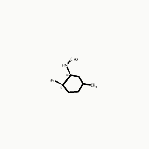 CC1CC[C@@H](C(C)C)[C@@H](NC=O)C1